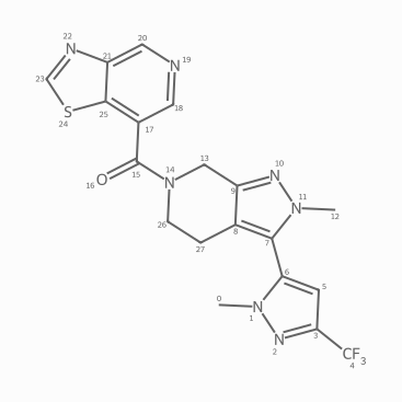 Cn1nc(C(F)(F)F)cc1-c1c2c(nn1C)CN(C(=O)c1cncc3ncsc13)CC2